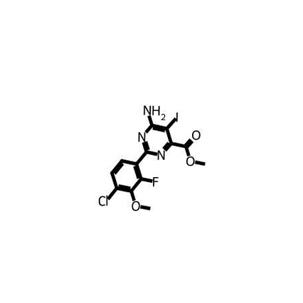 COC(=O)c1nc(-c2ccc(Cl)c(OC)c2F)nc(N)c1I